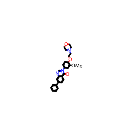 COc1cc(-n2cnc3cc(-c4ccccc4)ccc3c2=O)ccc1OCCN1CCOCC1